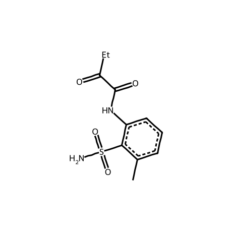 CCC(=O)C(=O)Nc1cccc(C)c1S(N)(=O)=O